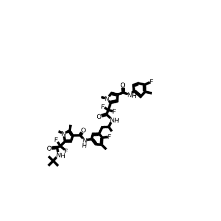 Cc1cc(NC(=O)c2cc(C(F)(F)C(=O)NC(C)Cc3cc(NC(=O)c4cc(C(F)(F)C(=O)NC(C)(C)C)n(C)c4C)cc(C)c3F)n(C)c2)ccc1F